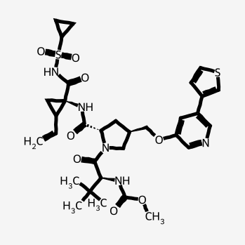 C=CC1C[C@]1(NC(=O)[C@@H]1C[C@@H](COc2cncc(-c3ccsc3)c2)CN1C(=O)[C@@H](NC(=O)OC)C(C)(C)C)C(=O)NS(=O)(=O)C1CC1